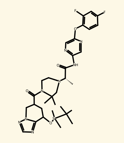 C[C@@H](C(=O)Nc1cnc(Oc2ccc(F)cc2F)cn1)N1CCN(C(=O)C2CC(O[Si](C)(C)C(C)(C)C)c3ncnn3C2)C(C)(C)C1